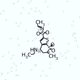 C/C=N/S(=O)(=O)c1cc2c(s1)S(=O)(=O)[C@@H](C)C[C@@H]2NCC